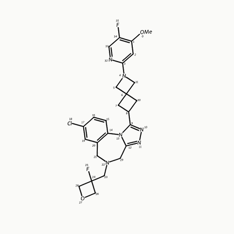 COc1cc(N2CC3(CC(c4nnc5n4-c4ccc(Cl)cc4CN(CC4(F)COC4)C5)C3)C2)ncc1F